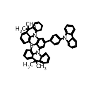 CC1(C)C2=C(CCC=C2)N2c3cc(-c4ccc(-n5c6ccccc6c6ccccc65)cc4)cc4c3B(c3cccc1c32)c1cccc2c1N4c1ccccc1C2(C)C